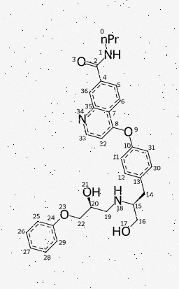 CCCNC(=O)c1ccc2c(Oc3ccc(C[C@@H](CO)NC[C@H](O)COc4ccccc4)cc3)ccnc2c1